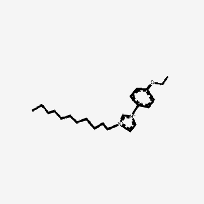 CCCCCCCCCCCn1cc[n+](-c2ccc(OCC)cc2)c1